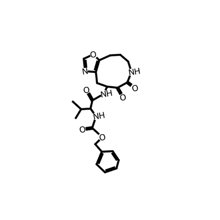 CC(C)C(NC(=O)OCc1ccccc1)C(=O)NC1Cc2ncoc2CCCNC(=O)C1=O